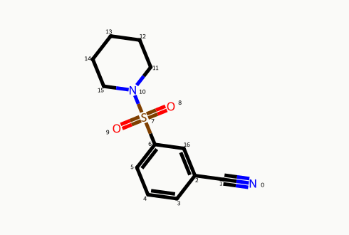 N#Cc1cccc(S(=O)(=O)N2CCCCC2)c1